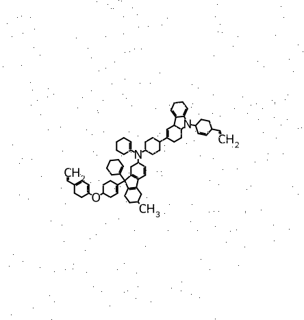 C=CC1=CC=C(OC2CC=C(C3(C4=CCCCC4)C4=C(C=CC(N(C5=CCCCC5)C5CCC(C6=CC7C8=CCCC=C8N(C8C=CC(C=C)CC8)C7CC6)CC5)C4)C4=C3CCC(C)C4)CC2)CC1